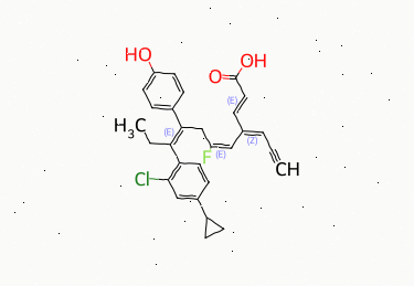 C#C/C=C(/C=C/C(=O)O)\C=C(\F)C/C(=C(/CC)c1ccc(C2CC2)cc1Cl)c1ccc(O)cc1